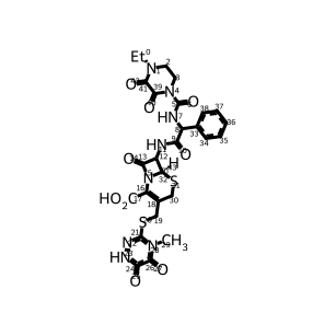 CCN1CCN(C(=O)NC(C(=O)NC2C(=O)N3C(C(=O)O)=C(CSc4n[nH]c(=O)c(=O)n4C)CS[C@H]23)c2ccccc2)C(=O)C1=O